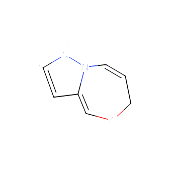 C1=CN2NC=CC2=COC1